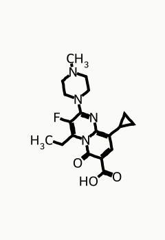 CCc1c(F)c(N2CCN(C)CC2)nc2c(C3CC3)cc(C(=O)O)c(=O)n12